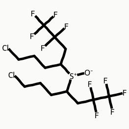 [O-][S+](C(CCCCl)CC(F)(F)C(F)(F)F)C(CCCCl)CC(F)(F)C(F)(F)F